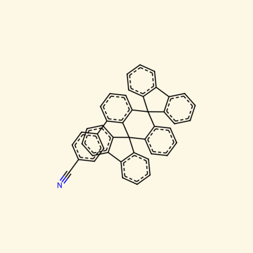 N#Cc1ccc(-c2cccc3c2C2(c4ccccc4-c4ccccc42)c2ccccc2C32c3ccccc3-c3ccccc32)cc1